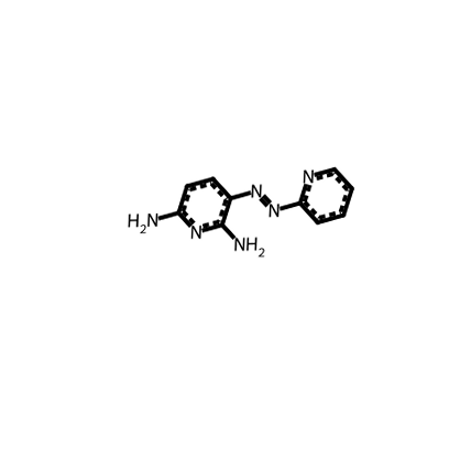 Nc1ccc(N=Nc2ccccn2)c(N)n1